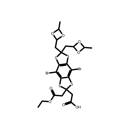 CCOC(=O)CC1(CC(=O)O)Sc2c(Br)c3c(c(Br)c2S1)SC(CC1OC(C)O1)(CC1OC(C)O1)S3